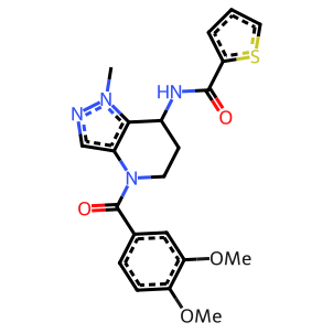 COc1ccc(C(=O)N2CCC(NC(=O)c3cccs3)c3c2cnn3C)cc1OC